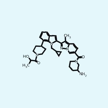 Cc1c(-c2cc3cccc(C4CCN(C(=O)C(C)O)CC4)c3n2CC2CC2)nn2cc(C(=O)N3CCCC(N)C3)ccc12